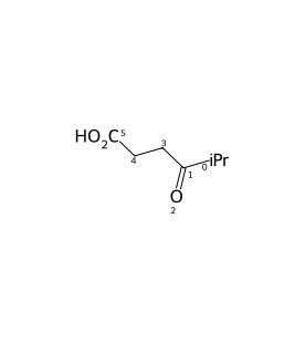 CC(C)C(=O)CCC(=O)O